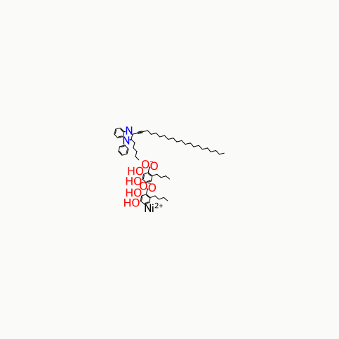 CCCCCCCCCCCCCCCCCCCC#CC(=Nc1ccccc1)C(CCCCC)=Nc1ccccc1.CCCCc1ccc(O)c(O)c1C(=O)[O-].CCCCc1ccc(O)c(O)c1C(=O)[O-].[Ni+2]